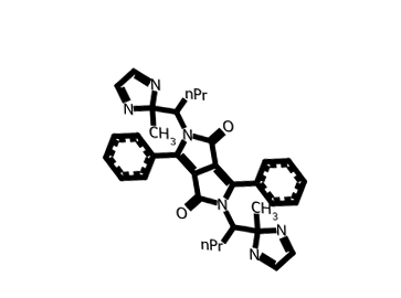 CCCC(N1C(=O)C2=C(c3ccccc3)N(C(CCC)C3(C)N=CC=N3)C(=O)C2=C1c1ccccc1)C1(C)N=CC=N1